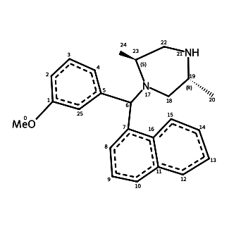 COc1cccc(C(c2cccc3ccccc23)N2C[C@@H](C)NC[C@@H]2C)c1